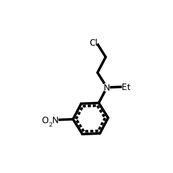 CCN(CCCl)c1cccc([N+](=O)[O-])c1